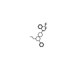 C=C(c1ccccc1C(F)F)C1CCC2(CC1)CC(CCC)CC(c1ccccc1)C2